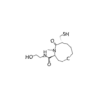 CN1C(=O)[C@H](CS)CCCCCC[C@H]1C(=O)NCCO